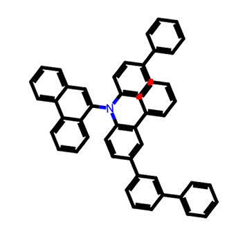 c1ccc(-c2ccc(N(c3ccc(-c4cccc(-c5ccccc5)c4)cc3-c3ccccc3)c3cc4ccccc4c4ccccc34)cc2)cc1